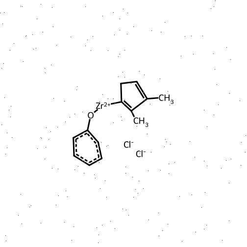 CC1=CC[C]([Zr+2][O]c2ccccc2)=C1C.[Cl-].[Cl-]